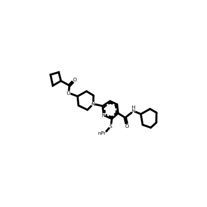 CCCSc1nc(N2CCC(OC(=O)C3CCC3)CC2)ccc1C(=O)NC1CCCCC1